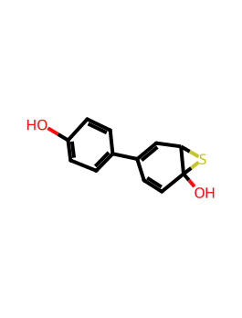 Oc1ccc(C2=CC3SC3(O)C=C2)cc1